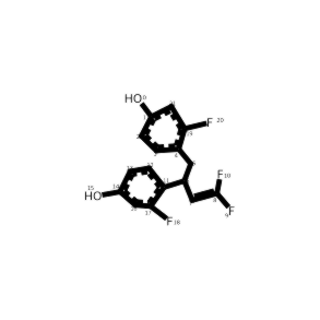 Oc1ccc(CC(C=C(F)F)c2ccc(O)cc2F)c(F)c1